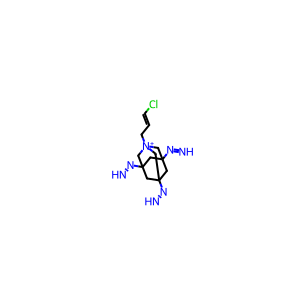 N=NC12CC3(N=N)CC(N=N)(C1)C[N+](CC=CCl)(C2)C3